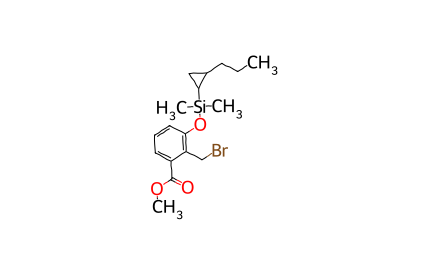 CCCC1CC1[Si](C)(C)Oc1cccc(C(=O)OC)c1CBr